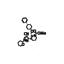 COC(=O)N1CCC[C@H](c2nn(C3CCCCO3)cc2C#N)[C@@H]1CO[C@H]1CC[C@@H](c2ccccc2)CC1